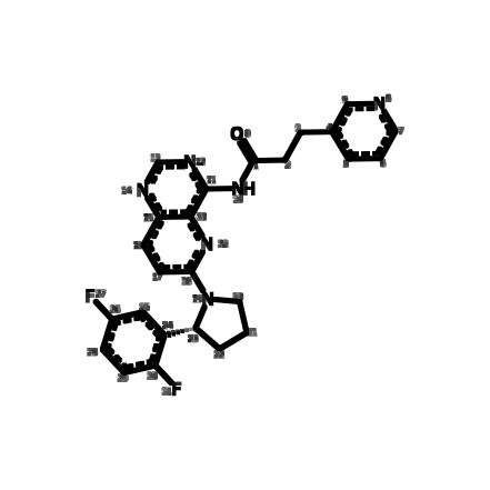 O=C(CCc1cccnc1)Nc1ncnc2ccc(N3CCC[C@@H]3c3cc(F)ccc3F)nc12